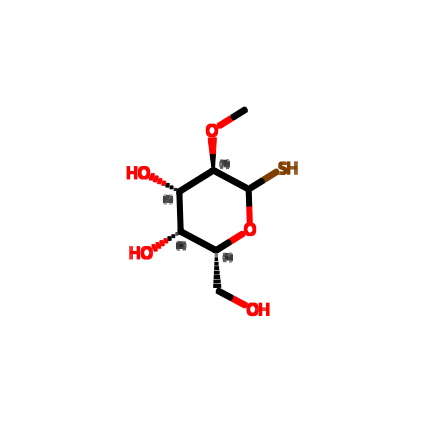 CO[C@H]1C(S)O[C@H](CO)[C@H](O)[C@@H]1O